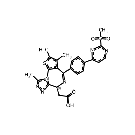 Cc1sc2c(c1C)C(c1ccc(-c3ccnc(S(C)(=O)=O)n3)cc1)=N[C@@H](CC(=O)O)c1nnc(C)n1-2